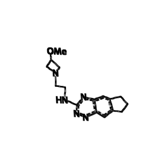 COC1CN(CCNc2nnc3cc4c(cc3n2)CCC4)C1